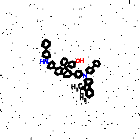 CC1(C)c2ccccc2-c2ccc(N(c3ccc(C4=CC5C(C=C4)c4ccc(-c6ccc(Nc7ccc(-c8ccccc8)cc7)cc6)cc4C5(C4=CC=C(O)CC4)c4ccccc4)cc3)c3ccc(-c4ccccc4)cc3)cc21